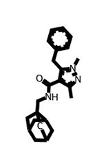 Cc1nn(C)c(Cc2ccccc2)c1C(=O)NCC12CC3CC(CC1C3)C2